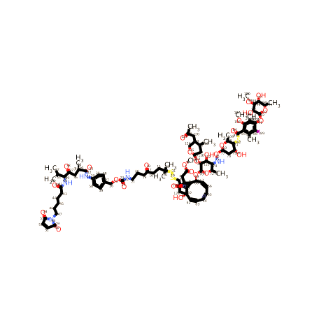 COC(=O)CC1=C2/C(=C\CSSC(C)(C)CCC(=O)CCCNC(=O)OCc3ccc(NC(=O)[C@H](C)CC(=O)[C@@H](NC(=O)CCCCCN4C(=O)C=CC4=O)C(C)C)cc3)[C@](O)(C#C/C=C\C#C[C@@H]2OC2OC(C)C(NOC3CC(O)C(SC(=O)c4c(C)c(I)c(OC5OC(C)C(O)C(OC)C5O)c(C)c4OC)C(C)O3)C(O)C2OC2CC(C)C(CC(C)=O)CO2)CC1=O